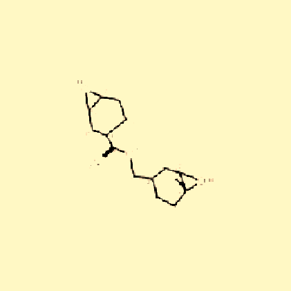 CC12CCC(COC(=O)C3CCC4OC4C3)CC1O2